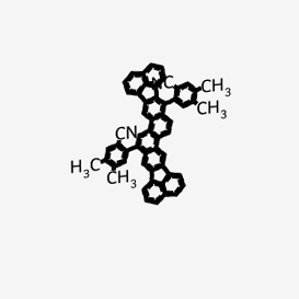 Cc1cc(C#N)c(-c2cc3c4cc5c(c(-c6cc(C)c(C)cc6C#N)c4ccc3c3cc4c(cc23)-c2cccc3cccc-4c23)-c2cccc3cccc-5c23)cc1C